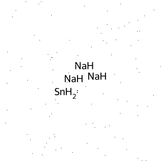 [NaH].[NaH].[NaH].[SnH2]